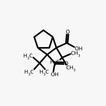 CC(C)(C)C1(C(=O)O)C2CCC(C2)C1(C(=O)O)C(C)(C)C